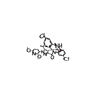 COc1ccc(-n2nc3c(c2C(C)C)C2(C(=O)Nc4cc(Cl)ccc42)N(c2cc(Cl)ccc2C)C3=O)c(OC)n1